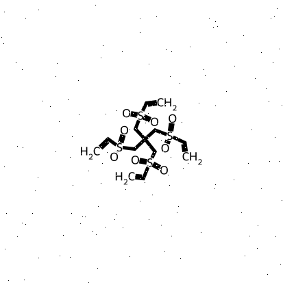 C=CS(=O)(=O)CC(CS(=O)(=O)C=C)(CS(=O)(=O)C=C)CS(=O)(=O)C=C